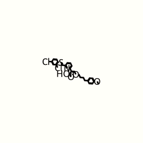 COc1ccc(CCCCOC=C(C(=O)O)c2cccc(CSc3ccc(Cl)cc3Cl)n2)cc1